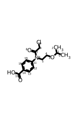 CC(C)OCCN(C(=O)CCl)c1ccc(C(=O)O)cc1